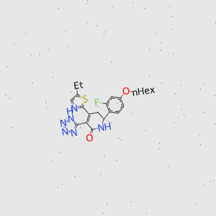 CCCCCCOc1ccc([C@]2(C)CC(c3ncc(CC)s3)=C(c3nnn[nH]3)C(=O)N2)c(F)c1